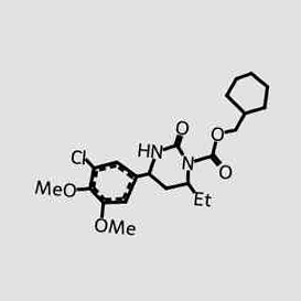 CCC1CC(c2cc(Cl)c(OC)c(OC)c2)NC(=O)N1C(=O)OCC1CCCCC1